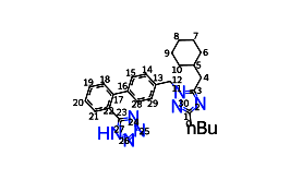 CCCCc1nc(CC2CCCCC2)n(Cc2ccc(-c3ccccc3-c3nnn[nH]3)cc2)n1